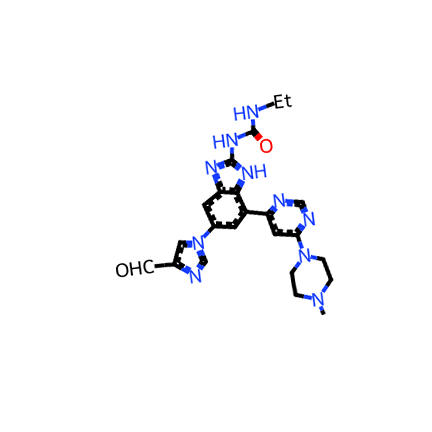 CCNC(=O)Nc1nc2cc(-n3cnc(C=O)c3)cc(-c3cc(N4CCN(C)CC4)ncn3)c2[nH]1